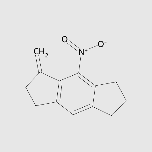 C=C1CCc2cc3c(c([N+](=O)[O-])c21)CCC3